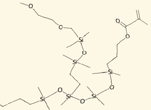 C=C(C)C(=O)OCCC[Si](C)(C)O[Si](C)(C)O[Si](C)(CC[Si](C)(C)O[Si](C)(C)COCCOC)O[Si](C)(C)CCCC